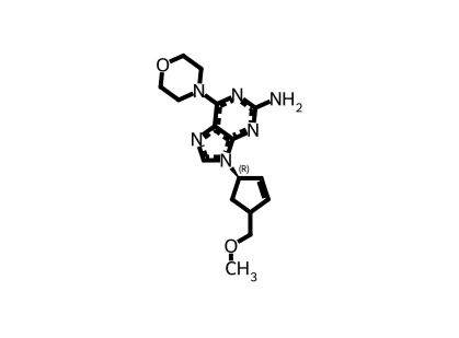 COCC1C=C[C@H](n2cnc3c(N4CCOCC4)nc(N)nc32)C1